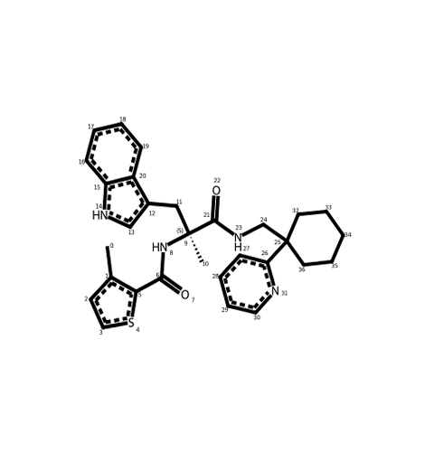 Cc1ccsc1C(=O)N[C@@](C)(Cc1c[nH]c2ccccc12)C(=O)NCC1(c2ccccn2)CCCCC1